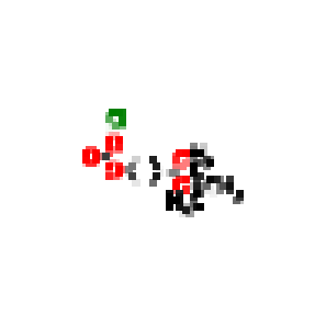 CC(C)(C)OC(=O)[C@H]1CC[C@@H](OC(=O)OCCl)CC1